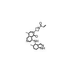 C=CC(=O)N1CC(n2cc(C)c3cncc(Nc4c(C)ccc5[nH]ncc45)c3c2=O)C1